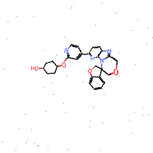 OC1CCC(Oc2cc(-c3ccc4nc5n(c4n3)C3(COC5)COc4ccccc43)ccn2)CC1